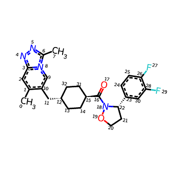 Cc1cc2nnc(C)n2cc1C[C@H]1CC[C@H](C(=O)N2OCC[C@H]2c2ccc(F)c(F)c2)CC1